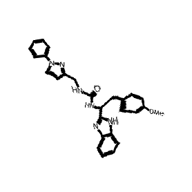 COc1ccc(CC(NC(=O)NCc2ccn(-c3ccccc3)n2)c2nc3ccccc3[nH]2)cc1